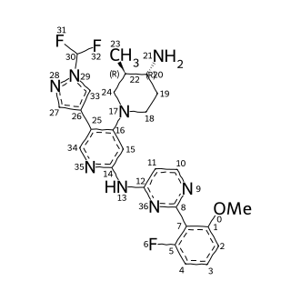 COc1cccc(F)c1-c1nccc(Nc2cc(N3CC[C@@H](N)[C@H](C)C3)c(-c3cnn(C(F)F)c3)cn2)n1